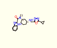 CCN(C(=O)c1nc2ccccc2[nH]1)[C@H]1CCC[C@@H](NCc2nnc(C3CC3)o2)C1